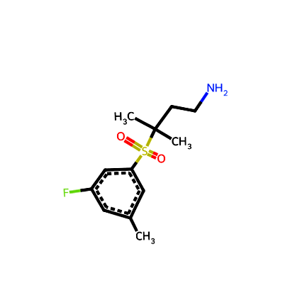 Cc1cc(F)cc(S(=O)(=O)C(C)(C)CCN)c1